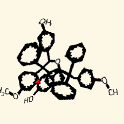 COc1ccc(C(c2ccccc2)(c2ccccc2)C(OC(c2ccc(O)cc2)C(c2ccccc2)(c2ccccc2)c2ccc(OC)cc2)c2ccc(O)cc2)cc1